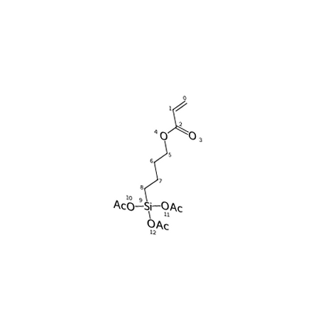 C=CC(=O)OCCCC[Si](OC(C)=O)(OC(C)=O)OC(C)=O